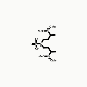 CCP(O)(=S)[SH](CCC(C)[SiH](OC)OC)CCC(C)[SiH](OC)OC